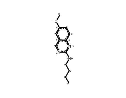 CCCCNc1ncc2cc(OC)ccc2n1